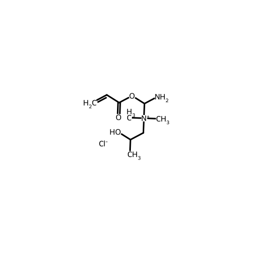 C=CC(=O)OC(N)[N+](C)(C)CC(C)O.[Cl-]